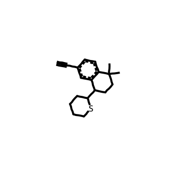 C#Cc1ccc2c(c1)C(C1CCCCS1)CCC2(C)C